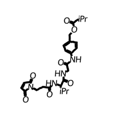 CC(C)C(=O)OCc1ccc(NC(=O)CNC(=O)C(NC(=O)CCN2C(=O)C=CC2=O)C(C)C)cc1